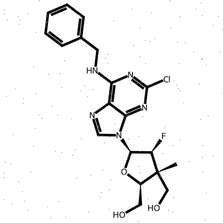 C[C@]1(CO)[C@H](F)[C@H](n2cnc3c(NCc4ccccc4)nc(Cl)nc32)O[C@@H]1CO